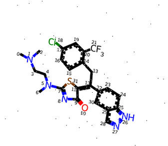 CN(C)CCN(C)C1=NC(=O)C(=C(Cc2ccc(Cl)cc2C(F)(F)F)c2ccc3[nH]ncc3c2)S1